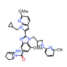 COc1ccc2cc(-c3nc4cc(C(=O)N5CC6CCC5C6N)cc(OC)c4n3CC3CN(c4cccc(C#N)n4)C3)n(CC3CC3)c2n1